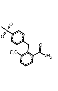 CS(=O)(=O)c1ccc(Cc2c(C(N)=O)cccc2C(F)(F)F)cc1